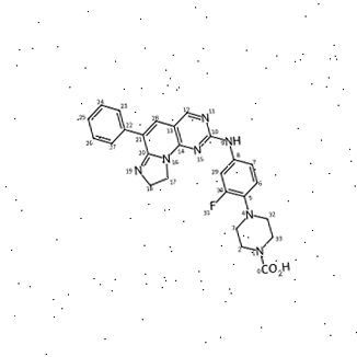 O=C(O)N1CCN(c2ccc(Nc3ncc4c(n3)N3CCN=C3C(c3ccccc3)=C4)cc2F)CC1